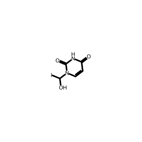 O=c1ccn(C(O)I)c(=O)[nH]1